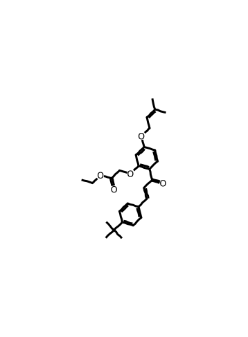 CCOC(=O)COc1cc(OCC=C(C)C)ccc1C(=O)/C=C/c1ccc(C(C)(C)C)cc1